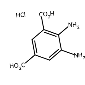 Cl.Nc1cc(C(=O)O)cc(C(=O)O)c1N